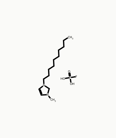 CCCCCCCCCCN1C=CN(C)C1.O=P(O)(O)F